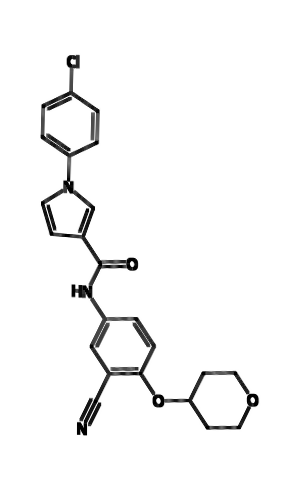 N#Cc1cc(NC(=O)c2ccn(-c3ccc(Cl)cc3)c2)ccc1OC1CCOCC1